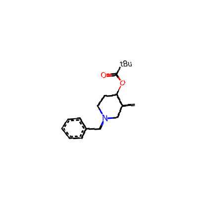 CC1CN(Cc2ccccc2)CCC1OC(=O)C(C)(C)C